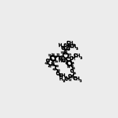 CCOc1cc(COC[C@@H](C)OCC)ccc1[C@@]1(O)CCN(C(=O)OC(C)(C)C)C[C@@H]1OCc1ccc2c(c1)N(CCCOC)CCO2